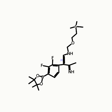 CC(=N)/C(=C\NCOCCS(C)(C)C)c1ccc(B2OC(C)(C)C(C)(C)O2)c(F)c1F